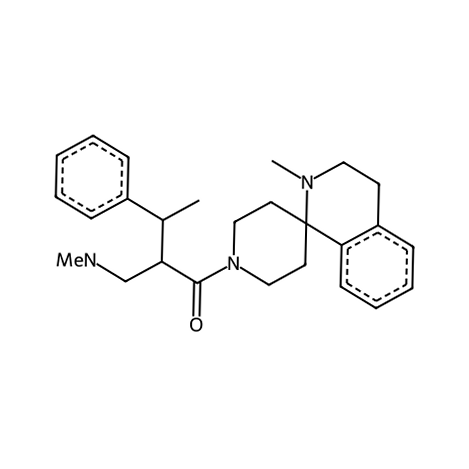 CNCC(C(=O)N1CCC2(CC1)c1ccccc1CCN2C)C(C)c1ccccc1